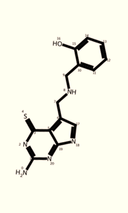 NC1=NC(=S)C2=C(CNCc3ccccc3O)C=NC2=N1